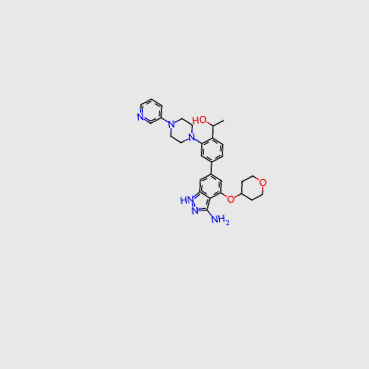 CC(O)c1ccc(-c2cc(OC3CCOCC3)c3c(N)n[nH]c3c2)cc1N1CCN(c2cccnc2)CC1